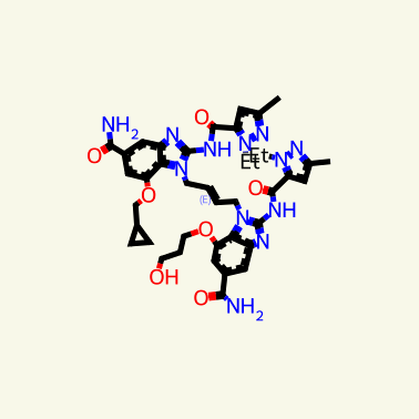 CCn1nc(C)cc1C(=O)Nc1nc2cc(C(N)=O)cc(OCCCO)c2n1C/C=C/Cn1c(NC(=O)c2cc(C)nn2CC)nc2cc(C(N)=O)cc(OCC3CC3)c21